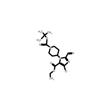 CCOC(=O)c1c(Cl)nc(C=O)n1C1CCN(C(=O)OC(C)(C)C)CC1